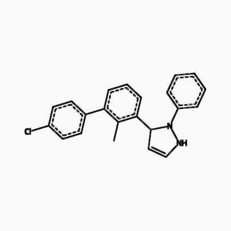 Cc1c(-c2ccc(Cl)cc2)cccc1C1C=CNN1c1ccccc1